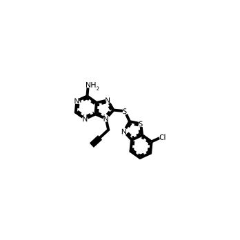 C#CCn1c(Sc2nc3cccc(Cl)c3s2)nc2c(N)ncnc21